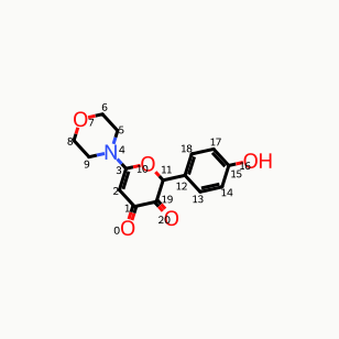 O=C1C=C(N2CCOCC2)OC(c2ccc(O)cc2)C1=O